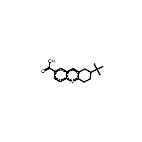 CC(C)(C)C1CCc2nc3ccc(C(=O)O)cc3cc2C1